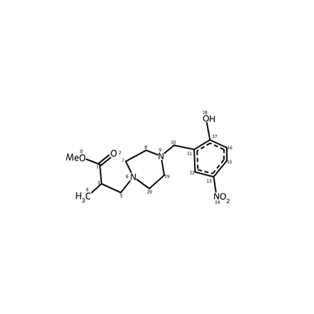 COC(=O)C(C)CN1CCN(Cc2cc([N+](=O)[O-])ccc2O)CC1